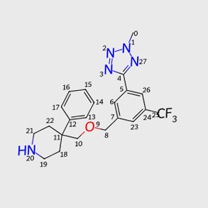 Cn1nnc(-c2cc(COCC3(c4ccccc4)CCNCC3)cc(C(F)(F)F)c2)n1